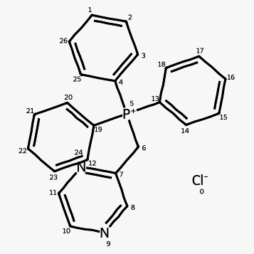 [Cl-].c1ccc([P+](Cc2cnccn2)(c2ccccc2)c2ccccc2)cc1